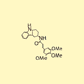 COc1cc(/C=C/C(=O)NC2CCC3Nc4ccccc4C3C2)cc(OC)c1OC